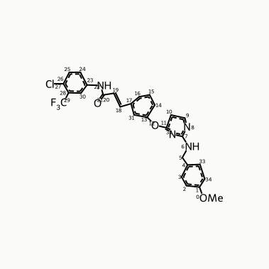 COc1ccc(CNc2nccc(Oc3cccc(C=CC(=O)Nc4ccc(Cl)c(C(F)(F)F)c4)c3)n2)cc1